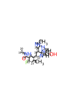 [2H]C([2H])(O)C([2H])([2H])Nc1ncc(-c2cc(C(=O)NC3CC3)c(F)cc2C)cc1-c1cnn(C)c1